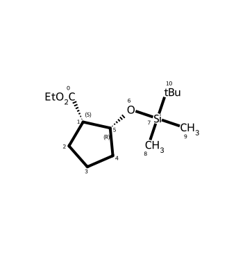 CCOC(=O)[C@H]1CCC[C@H]1O[Si](C)(C)C(C)(C)C